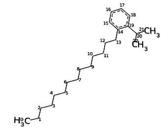 CCCCCCCCCCCCCCc1ccccc1[C](C)C